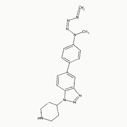 C=N/N=N\N(C)c1ccc(-c2ccc3c(c2)nnn3C2CCNCC2)cc1